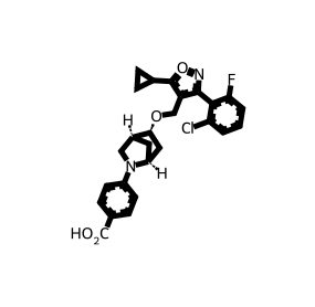 O=C(O)c1ccc(N2C[C@@H]3C[C@H]2C[C@H]3OCc2c(-c3c(F)cccc3Cl)noc2C2CC2)cc1